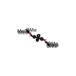 CO[Si](CCCSCCc1ccc(-c2c3ccccc3c(-c3ccc(CCSCCC[Si](OC)(OC)OC)cc3)c3ccccc23)cc1)(OC)OC